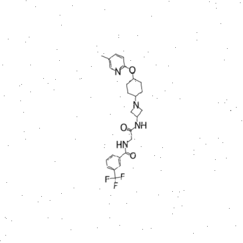 Cc1ccc(OC2CCC(N3CC(NC(=O)CNC(=O)c4cccc(C(F)(F)F)c4)C3)CC2)nc1